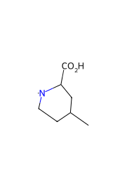 CC1CC[N]C(C(=O)O)C1